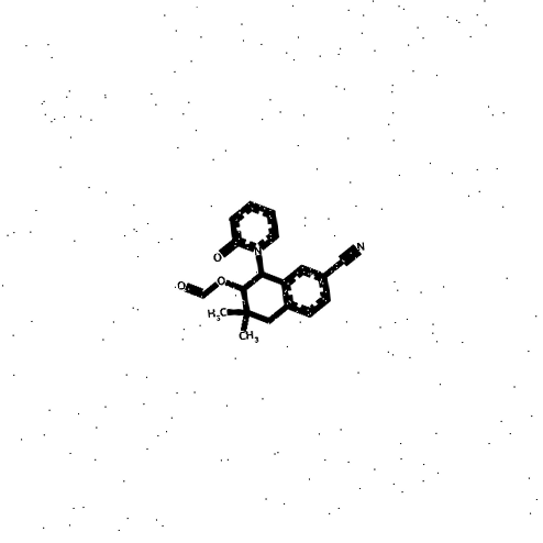 CC1(C)Cc2ccc(C#N)cc2C(n2ccccc2=O)C1OC=O